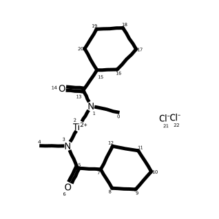 C[N]([Ti+2][N](C)C(=O)C1CCCCC1)C(=O)C1CCCCC1.[Cl-].[Cl-]